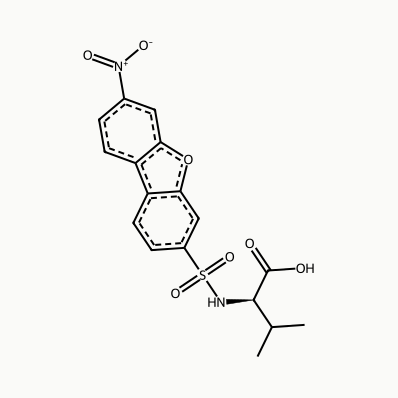 CC(C)[C@@H](NS(=O)(=O)c1ccc2c(c1)oc1cc([N+](=O)[O-])ccc12)C(=O)O